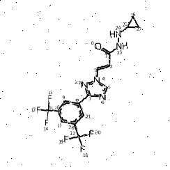 O=C(C=Cn1cnc(-c2cc(C(F)(F)F)cc(C(F)(F)F)c2)n1)NNC1CC1